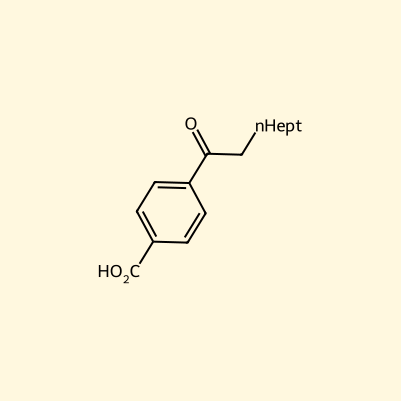 CCCCCCCCC(=O)c1ccc(C(=O)O)cc1